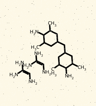 CC1CC(CC2CC(C)C(N)C(C)C2)CC(C)C1N.NC=C(N)N.NC=C(N)N